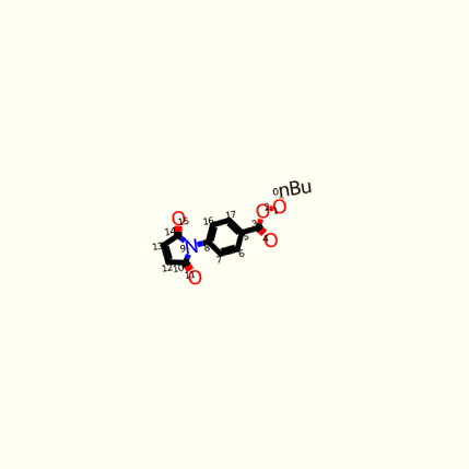 CCCCOOC(=O)c1ccc(N2C(=O)C=CC2=O)cc1